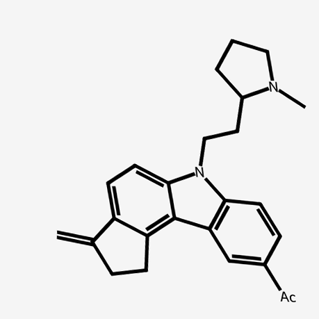 C=C1CCc2c1ccc1c2c2cc(C(C)=O)ccc2n1CCC1CCCN1C